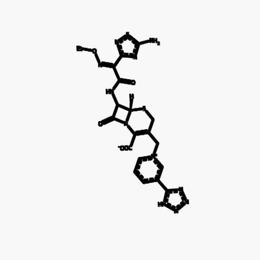 CCON=C(C(=O)NC1C(=O)N2C(C(=O)[O-])=C(C[n+]3cccc(-c4nnn[nH]4)c3)CS[C@@H]12)c1nsc(N)n1